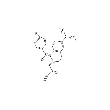 C#CC(=O)C[C@@H]1CCc2cc(C(C(F)(F)F)C(F)(F)F)ccc2N1[S+]([O-])c1ccc(F)cc1